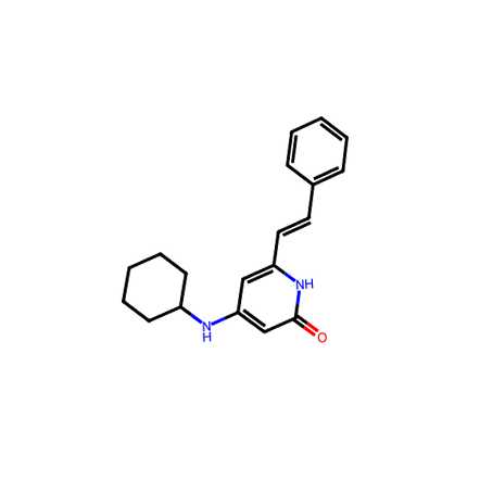 O=c1cc(NC2CCCCC2)cc(C=Cc2ccccc2)[nH]1